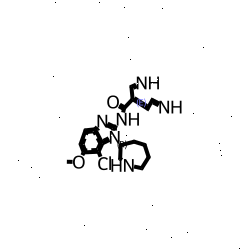 COc1ccc2nc(NC(=O)/C(C=N)=C/C=N)n([C@@H]3CCCCNC3)c2c1Cl